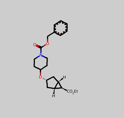 CCOC(=O)[C@H]1[C@@H]2C[C@H](OC3CCN(C(=O)OCc4ccccc4)CC3)C[C@@H]21